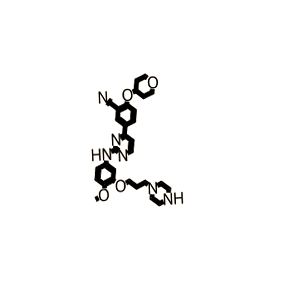 COc1ccc(Nc2nccc(-c3ccc(OC4CCOCC4)c(C#N)c3)n2)cc1OCCCN1CCNCC1